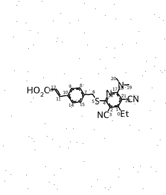 CCc1c(C#N)c(SCc2ccc(/C=C/C(=O)O)cc2)nc(N(C)C)c1C#N